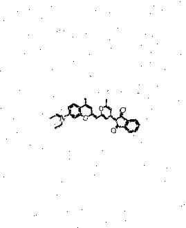 CCN(CC)c1ccc2c(c1)O/C(=C/C1=CC(=C3C(=O)c4ccccc4C3=O)C=C(C)O1)C=C2C